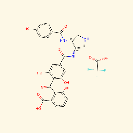 O=C(N[C@@H]1CNC[C@H]1NC(=O)c1cc(O)c(C(=O)c2c(O)cccc2C(=O)O)c(O)c1)c1ccc(O)cc1.O=C(O)C(F)(F)F